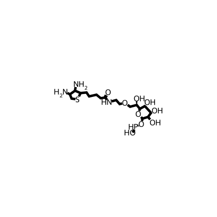 NC1CSC(CCCCC(=O)NCCOC[C@@H](O)C2OC(OPO)C(O)C(O)C2O)C1N